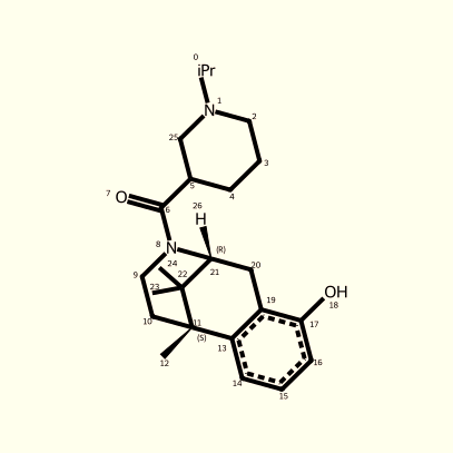 CC(C)N1CCCC(C(=O)N2CC[C@@]3(C)c4cccc(O)c4C[C@@H]2C3(C)C)C1